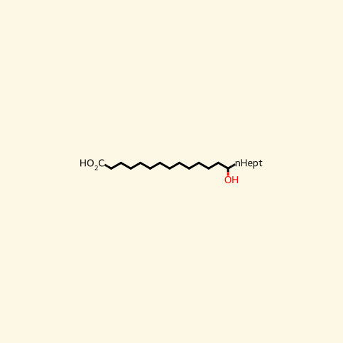 CCCCCCCC(O)CCCCCCCCCCCCC(=O)O